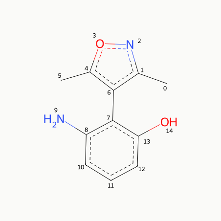 Cc1noc(C)c1-c1c(N)cccc1O